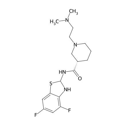 CN(C)CCN1CCC[C@H](C(=O)NC2Nc3c(F)cc(F)cc3S2)C1